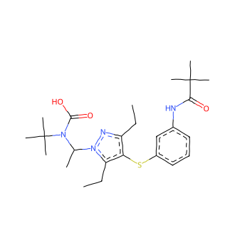 CCc1nn(C(C)N(C(=O)O)C(C)(C)C)c(CC)c1Sc1cccc(NC(=O)C(C)(C)C)c1